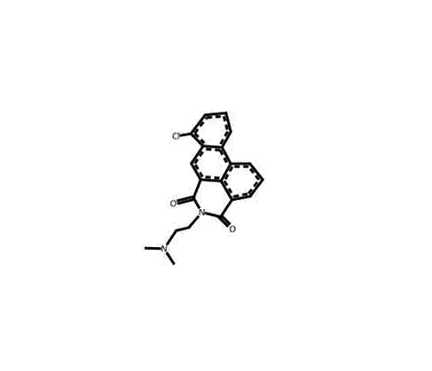 CN(C)CCN1C(=O)c2cccc3c2c(cc2c(Cl)cccc23)C1=O